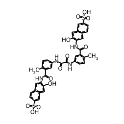 Cc1ccc(NC(=O)C(=O)Nc2ccc(C)c(C(=O)Nc3cc4ccc(S(=O)(=O)O)cc4cc3O)c2)cc1C(=O)Nc1cc2ccc(S(=O)(=O)O)cc2cc1O